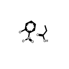 CCC(=O)O.[O]c1ccccc1[N+](=O)[O-]